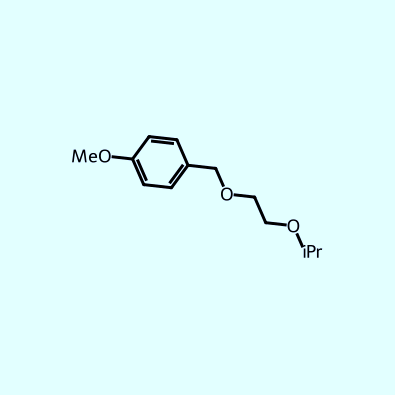 COc1ccc(COCCOC(C)C)cc1